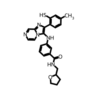 Cc1ccc(-c2nc3cnccn3c2Nc2cccc(C(=O)NCC3CCCO3)c2)c(S)c1